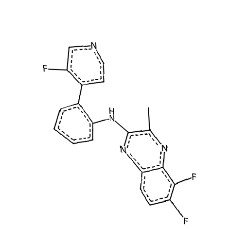 Cc1nc2c(F)c(F)ccc2nc1Nc1ccccc1-c1ccncc1F